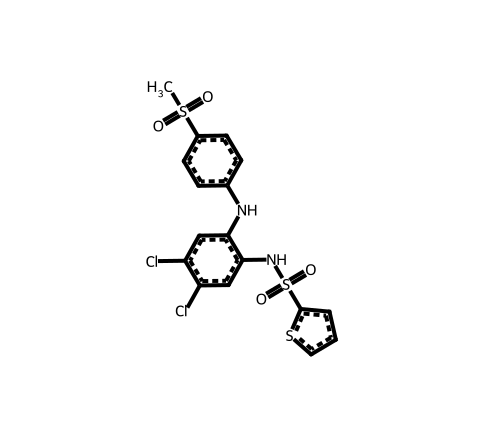 CS(=O)(=O)c1ccc(Nc2cc(Cl)c(Cl)cc2NS(=O)(=O)c2cccs2)cc1